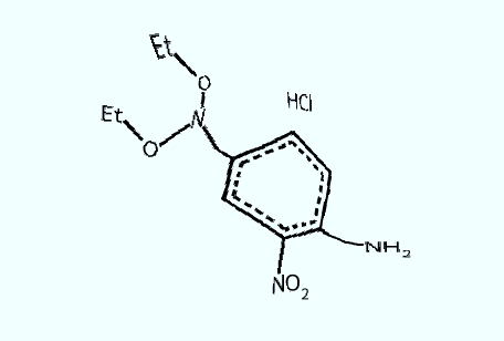 CCON(OCC)c1ccc(N)c([N+](=O)[O-])c1.Cl